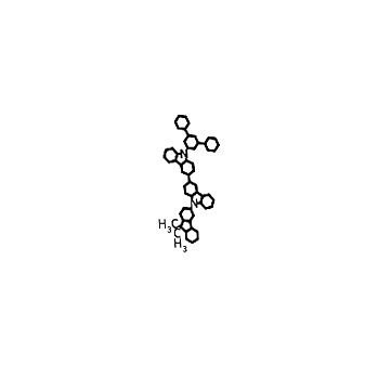 CC1(C)C2CCCCC2C2CC(N3C4CCCCC4C4CC(C5CCC6C(C5)C5CCCCC5N6C5CC(C6CCCCC6)CC(C6CCCCC6)C5)CCC43)CCC21